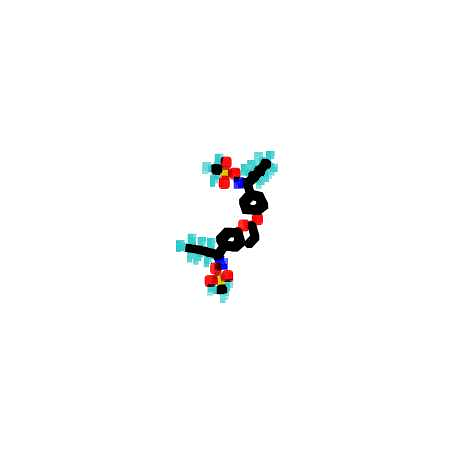 CCC(Oc1ccc(C(=NOS(=O)(=O)C(F)(F)F)C(F)(F)C(F)(F)C(F)(F)F)cc1)Oc1ccc(C(=NOS(=O)(=O)C(F)(F)F)C(F)(F)C(F)(F)C(F)(F)F)cc1